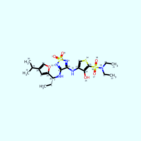 CC[C@@H](NC1=NS(=O)(=O)N=C1Nc1csc(S(=O)(=O)N(CC)CC)c1O)c1cc(C(C)C)co1